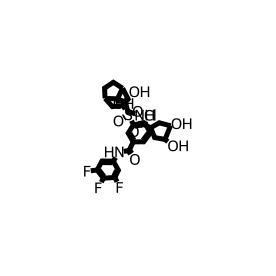 O=C(Nc1cc(F)c(F)c(F)c1)c1ccc(Cl)c(S(=O)(=O)C2CC3CCC(C2)C3(O)C(O)CNC(=O)C2CC(O)C(O)C2)c1